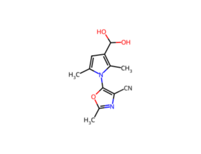 Cc1nc(C#N)c(-n2c(C)cc(C(O)O)c2C)o1